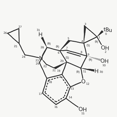 CC(C)(C)[C@]1(O)C[C@@]12C[C@@]13C=C[C@]2(O)[C@@H]2Oc4c(O)ccc5c4[C@@]21CCN(CC1CC1)[C@@H]3C5